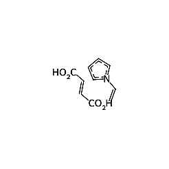 C=Cn1cccc1.O=C(O)C=CC(=O)O